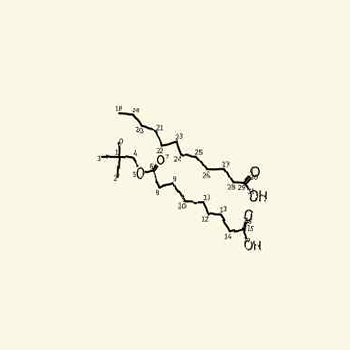 CC(C)(C)COC(=O)CCCCCCCC(=O)O.CCCCCCCCCCCC(=O)O